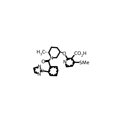 CSc1ccnc(O[C@@H]2CC[C@@H](C)N(C(=O)c3ccccc3-n3nccn3)C2)c1C(=O)O